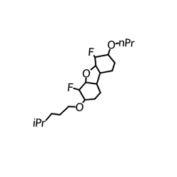 CCCOC1CCC2C3CCC(OCCCC(C)C)C(F)C3OC2C1F